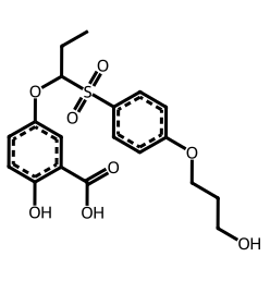 CCC(Oc1ccc(O)c(C(=O)O)c1)S(=O)(=O)c1ccc(OCCCO)cc1